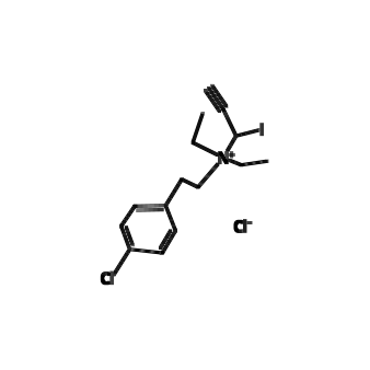 C#CC(I)[N+](CC)(CC)CCc1ccc(Cl)cc1.[Cl-]